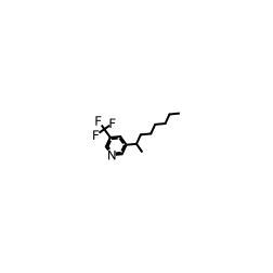 CCCCCCC(C)c1cncc(C(F)(F)F)c1